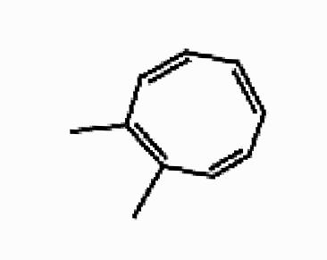 CC1=C(C)/C=C\C=C/C=C\1